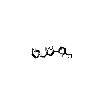 Clc1ccc(-c2cc(Cn3ccnc3)no2)s1